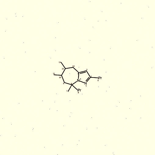 CC(C)c1cc2n(n1)C(C)(C(C)C)CC(C)C(C)C2